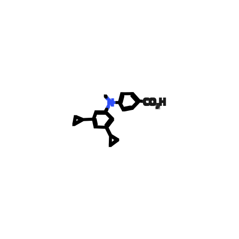 CN(c1ccc(C(=O)O)cc1)c1cc(C2CC2)cc(C2CC2)c1